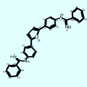 N=C(Nc1ccc(-c2ccc(-c3ccc(NC(=N)c4ccccc4)cc3)o2)cc1)c1ccccc1